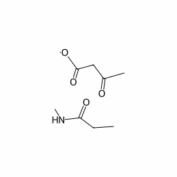 CC(=O)CC([O])=O.CCC(=O)NC